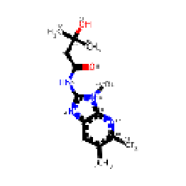 Cc1cc2nc(NC(=O)CC(C)(C)O)n(C(C)(C)C)c2nc1C(F)(F)F